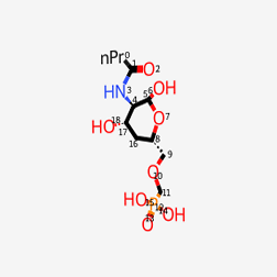 CCCC(=O)N[C@H]1C(O)O[C@H](COCP(=O)(O)O)C[C@@H]1O